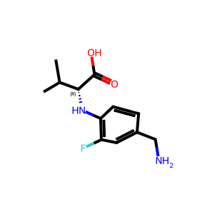 CC(C)[C@@H](Nc1ccc(CN)cc1F)C(=O)O